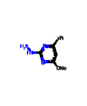 CCCc1cc(OC)nc(NN)n1